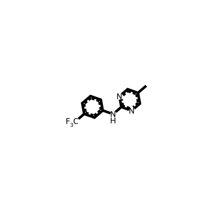 Cc1cnc(Nc2cccc(C(F)(F)F)c2)nc1